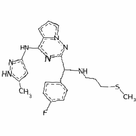 CSCCCNC(c1ccc(F)cc1)c1nc(Nc2cc(C)[nH]n2)c2cccn2n1